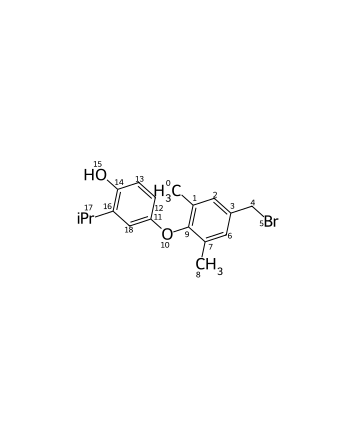 Cc1cc(CBr)cc(C)c1Oc1ccc(O)c(C(C)C)c1